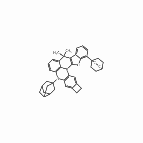 CC1(C)c2cccc3c2B(c2cc4c(cc2N3C23CC5CC(C2)C(C5)C3)CC4)c2oc3c(C45CCC(CC4)CC5)cccc3c21